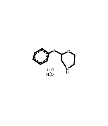 O.O.[B](c1ccccc1)C1CNCCO1